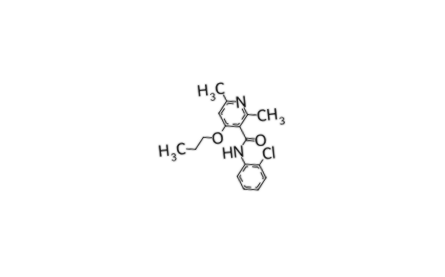 CCCOc1cc(C)nc(C)c1C(=O)Nc1ccccc1Cl